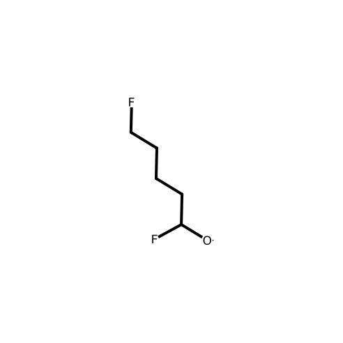 [O]C(F)CCCCF